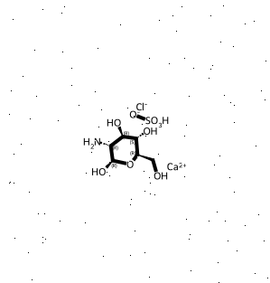 N[C@@H]1[C@@H](O)[C@H](O)[C@@H](CO)O[C@H]1O.O=S(=O)([O-])O.[Ca+2].[Cl-]